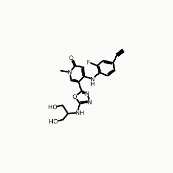 C#Cc1ccc(Nc2cc(=O)n(C)cc2-c2nnc(NC(CO)CO)o2)c(F)c1